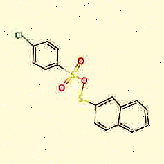 O=S(=O)(OSc1ccc2ccccc2c1)c1ccc(Cl)cc1